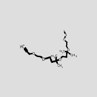 C#CCOCCOCCC(C)(C)OCCC(C)(C)OCCOSI